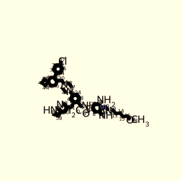 C=C(N[S+]([O-])C1=CC(=N)/C(=C\NCCCCCOC)C(N)=C1)c1ccc(N2CCN(CC3=C(c4ccc(Cl)cc4)CC4(CCC4)CC3)CC2)cc1Cc1cnc2[nH]ccc2c1